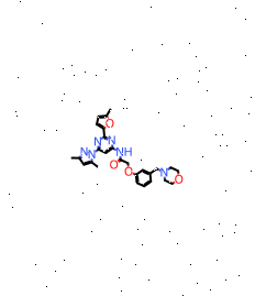 Cc1cc(C)n(-c2cc(NC(=O)COc3cccc(CN4CCOCC4)c3)nc(-c3ccc(C)o3)n2)n1